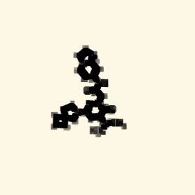 CN(C)c1cc(N2CCC3(CCC3)C2)nn(CC(=O)Nc2ccn3ccnc3c2)c1=O